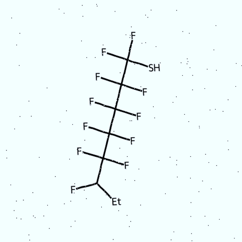 CCC(F)C(F)(F)C(F)(F)C(F)(F)C(F)(F)C(F)(F)S